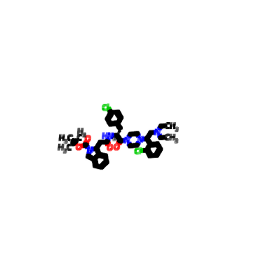 CCN(CC)CC(c1ccccc1Cl)N1CCN(C(=O)[C@@H](Cc2ccc(Cl)cc2)NC(=O)CC2c3ccccc3CN2C(=O)OC(C)(C)C)CC1